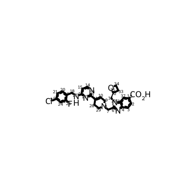 O=C(O)c1ccc2nc(CN3CC=C(c4nccc(NCc5ccc(Cl)cc5F)n4)CC3)n(C[C@@H]3CCO3)c2c1